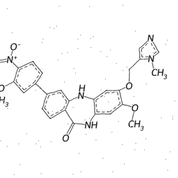 COc1cc2c(cc1OCc1cncn1C)Nc1cc(-c3ccc([N+](=O)[O-])c(OC)c3)ccc1C(=O)N2